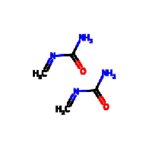 C=NC(N)=O.C=NC(N)=O